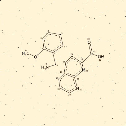 COc1ccccc1CN.O=C(O)c1ccc2cccnc2n1